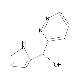 OC(c1cccnn1)c1ccc[nH]1